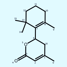 CC1=CC(=O)OC(C2=C(C)CCCC2(C)C)C1